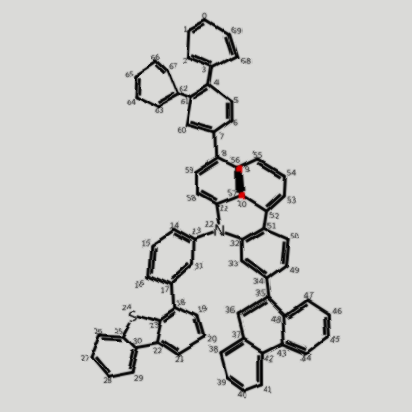 c1ccc(-c2ccc(-c3ccc(N(c4cccc(-c5cccc6c5sc5ccccc56)c4)c4cc(-c5cc6ccccc6c6ccccc56)ccc4-c4ccccc4)cc3)cc2-c2ccccc2)cc1